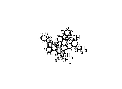 Cc1cc2c(cc1N1c3cc(C(C)(C)C)cc4c3B(c3ccc5c(sc6ccccc65)c31)n1c3oc5ccccc5c3c3cccc-4c31)C(C)(C)CCC2(C)C